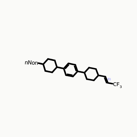 CCCCCCCCCC1CCC(c2ccc(C3CCC(/C=C/C(F)(F)F)CC3)cc2)CC1